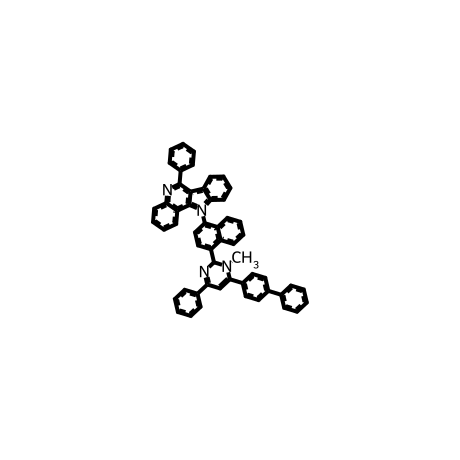 CN1C(c2ccc(-c3ccccc3)cc2)=CC(c2ccccc2)=NC1c1ccc(-n2c3ccccc3c3c(-c4ccccc4)nc4ccccc4c32)c2ccccc12